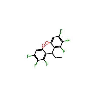 CCC(c1c([O])cc(F)c(F)c1F)c1c([O])cc(F)c(F)c1F